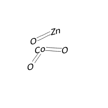 [O]=[Co]=[O].[O]=[Zn]